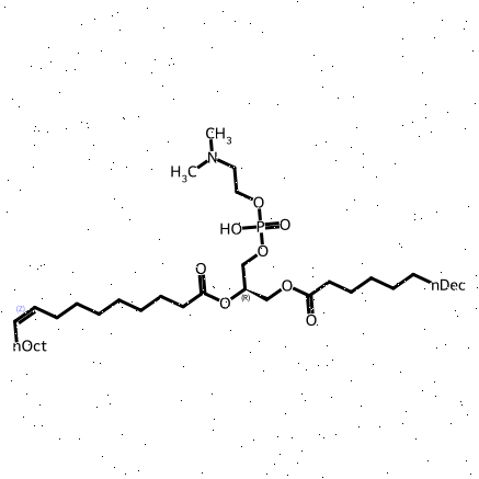 CCCCCCCC/C=C\CCCCCCCC(=O)O[C@H](COC(=O)CCCCCCCCCCCCCCC)COP(=O)(O)OCCN(C)C